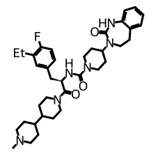 CCc1cc(C[C@@H](NC(=O)N2CCC(N3CCc4ccccc4NC3=O)CC2)C(=O)N2CCC(C3CCN(C)CC3)CC2)ccc1F